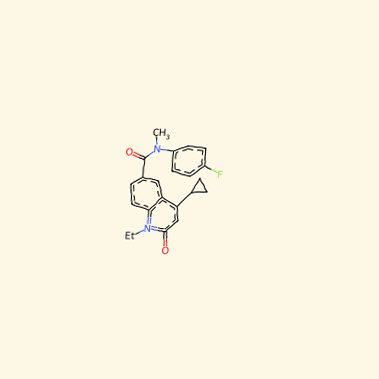 CCn1c(=O)cc(C2CC2)c2cc(C(=O)N(C)c3ccc(F)cc3)ccc21